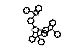 c1ccc(-n2c(-c3cccc(-c4nc(-c5ccc6c(c5)c5ccccc5n6-c5ccccc5)c5c(n4)-c4ccccc4C5(c4ccccc4)c4ccccc4)c3)nc3ccccc32)cc1